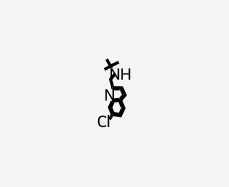 CC(C)(C)NCc1ccc2ccc(Cl)cc2n1